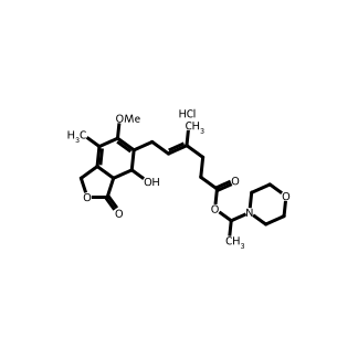 COC1=C(C/C=C(\C)CCC(=O)OC(C)N2CCOCC2)C(O)C2C(=O)OCC2=C1C.Cl